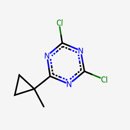 CC1(c2nc(Cl)nc(Cl)n2)CC1